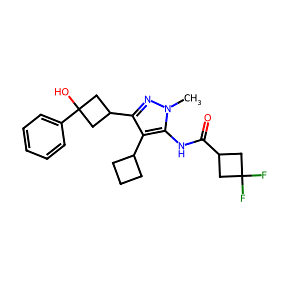 Cn1nc(C2CC(O)(c3ccccc3)C2)c(C2CCC2)c1NC(=O)C1CC(F)(F)C1